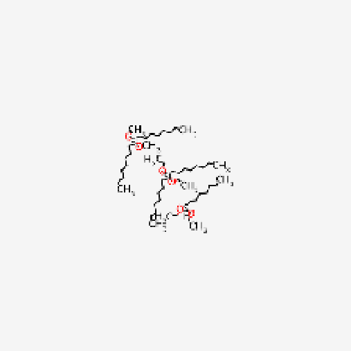 CCCCCCCC[Si](CCCCCCCC)(OC)OC.CCCCCCCC[Si](CCCCCCCC)(OCC)OCC.CCCCCCC[SiH](OCC)OCC